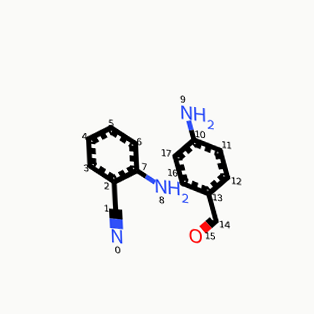 N#Cc1ccccc1N.Nc1ccc(C=O)cc1